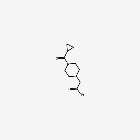 CC(C)C(=O)CC1CCN(C(=O)C2CC2)CC1